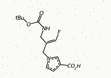 CC(C)(C)OC(=O)NCC(=CF)Cn1ccc(C(=O)O)c1